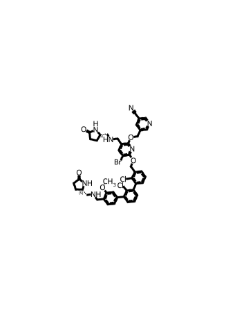 COc1cc(-c2cccc(-c3cccc(COc4nc(OCc5cncc(C#N)c5)c(CNC[C@@H]5CCC(=O)N5)cc4Br)c3Cl)c2Cl)ccc1CNC[C@@H]1CCC(=O)N1